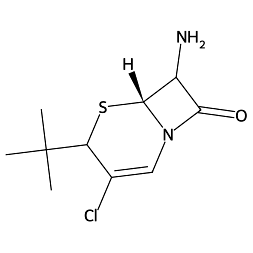 CC(C)(C)C1S[C@@H]2C(N)C(=O)N2C=C1Cl